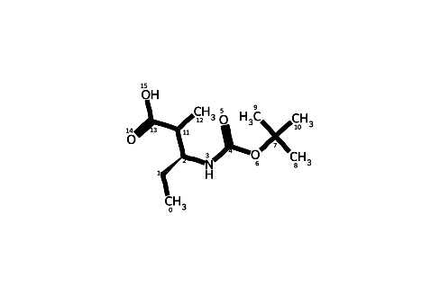 CC[C@H](NC(=O)OC(C)(C)C)C(C)C(=O)O